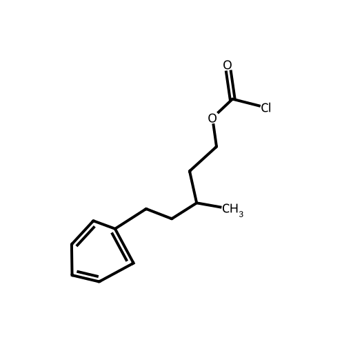 CC(CCOC(=O)Cl)CCc1ccccc1